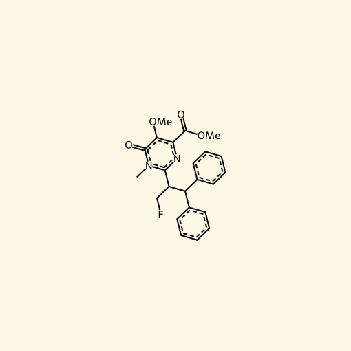 COC(=O)c1nc(C(CF)C(c2ccccc2)c2ccccc2)n(C)c(=O)c1OC